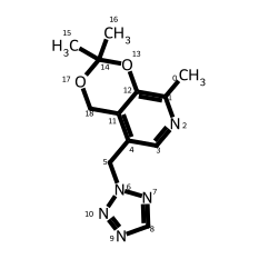 Cc1ncc(Cn2ncnn2)c2c1OC(C)(C)OC2